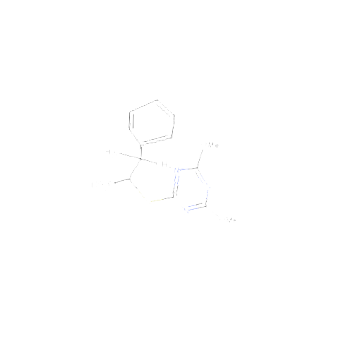 COc1nc(OC)nc(SC(C(=O)O)C(C)(C)c2ccccc2)n1